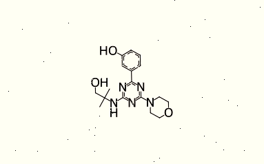 CC(C)(CO)Nc1nc(-c2cccc(O)c2)nc(N2CCOCC2)n1